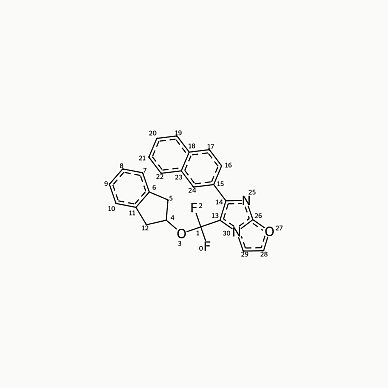 FC(F)(OC1Cc2ccccc2C1)c1c(-c2ccc3ccccc3c2)nc2occn12